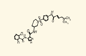 CN(C)CC=CC(=O)Nc1ccc(S(=O)(=O)N2CCCC(NC(=O)c3n[nH]cc3NC(=O)c3c(Cl)cccc3Cl)C2)cc1